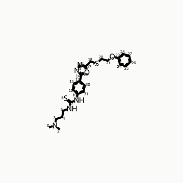 CN(C)CCCNC(=S)Nc1ccc(-c2nnc(CSCCOc3ccccc3)o2)cc1